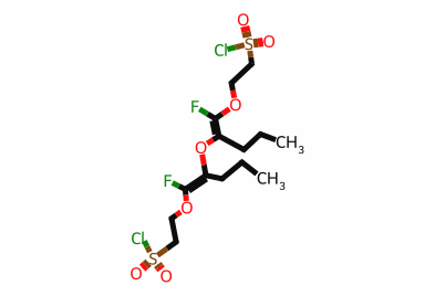 CCCC(OC(CCC)=C(F)OCCS(=O)(=O)Cl)=C(F)OCCS(=O)(=O)Cl